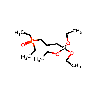 CCO[Si](CCCP(=O)(CC)CC)(OCC)OCC